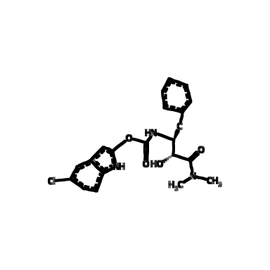 CN(C)C(=O)[C@H](O)[C@H](Cc1ccccc1)NC(=O)Oc1cc2cc(Cl)ccc2[nH]1